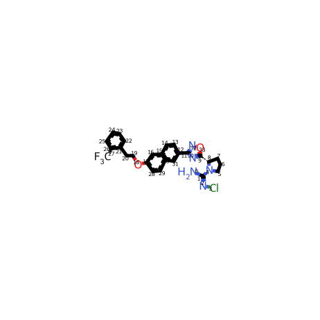 N/C(=N/Cl)N1CCC[C@H]1c1nc(-c2ccc3cc(OCCc4ccccc4C(F)(F)F)ccc3c2)no1